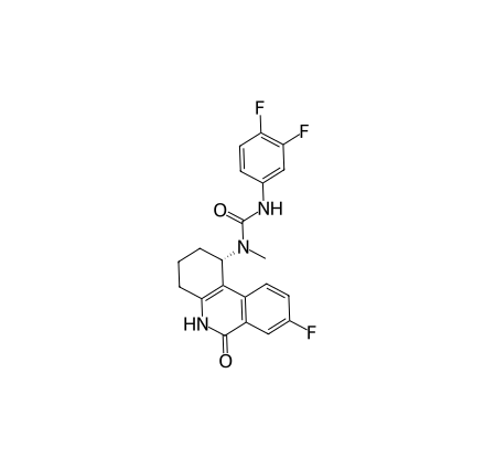 CN(C(=O)Nc1ccc(F)c(F)c1)[C@H]1CCCc2[nH]c(=O)c3cc(F)ccc3c21